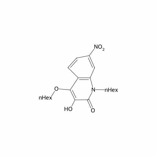 CCCCCCOc1c(O)c(=O)n(CCCCCC)c2cc([N+](=O)[O-])ccc12